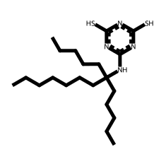 CCCCCCCC(CCCCC)(CCCCC)Nc1nc(S)nc(S)n1